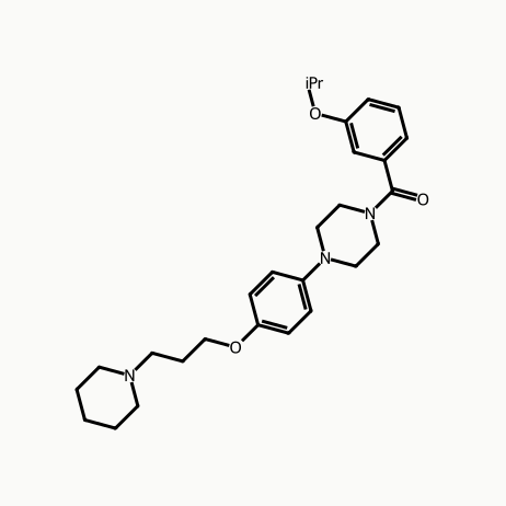 CC(C)Oc1cccc(C(=O)N2CCN(c3ccc(OCCCN4CCCCC4)cc3)CC2)c1